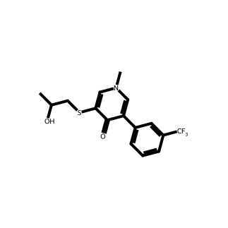 CC(O)CSc1cn(C)cc(-c2cccc(C(F)(F)F)c2)c1=O